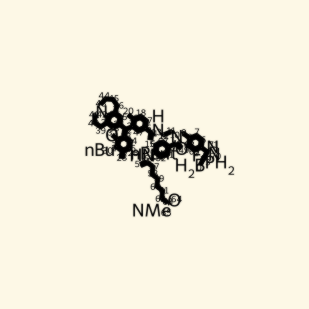 BC(F)(P)C1(c2ccc(CN(CCNC(=C)c3ccc(C)c(C4=c5cc(CCCCC)c(=C)c(CCCC)c5Oc5c4cc4c6c5CCCN6CCCC4)c3)C(=O)c3ccc(NC(=C)CCCCCCC(=O)NC)cc3)cc2)N=N1